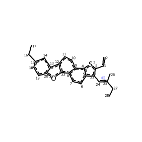 C=Cc1sc2c(ccc3c2ccc2c4cc(CC)ccc4oc23)c1/C=C(\C)CC